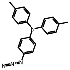 Cc1ccc(N(c2ccc(C)cc2)c2ccc(N=[N+]=[N-])cc2)cc1